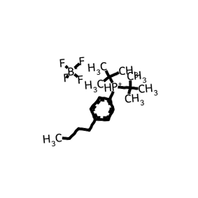 CCCCc1ccc([PH+](C(C)(C)C)C(C)(C)C)cc1.F[B-](F)(F)F